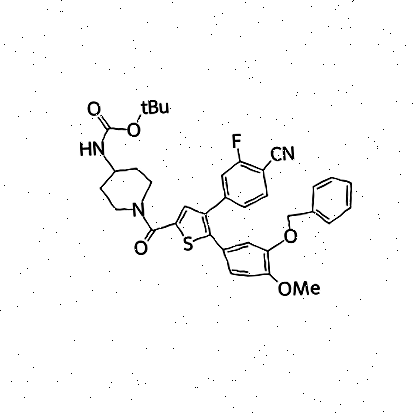 COc1ccc(-c2sc(C(=O)N3CCC(NC(=O)OC(C)(C)C)CC3)cc2-c2ccc(C#N)c(F)c2)cc1OCc1ccccc1